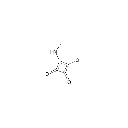 [CH2]Nc1c(O)c(=O)c1=O